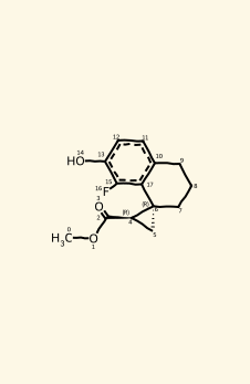 COC(=O)[C@@H]1C[C@]12CCCc1ccc(O)c(F)c12